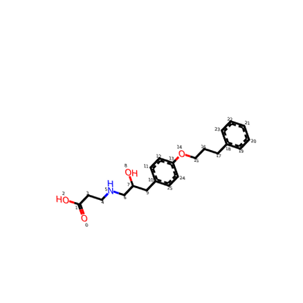 O=C(O)CCNCC(O)Cc1ccc(OCCCc2ccccc2)cc1